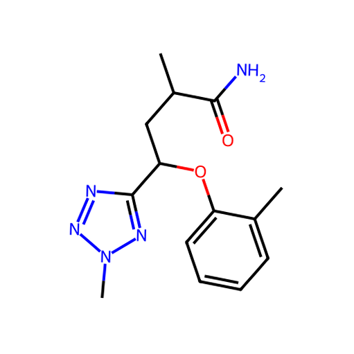 Cc1ccccc1OC(CC(C)C(N)=O)c1nnn(C)n1